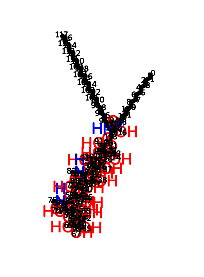 CCCCCCCCCCCCC/C=C/[C@@H](O)[C@H](CO[C@@H]1OC(CO)[C@@H](O[C@@H]2OC(CO)[C@H](O[C@@H]3OC(CO)[C@H](O)[C@H](O[C@@H]4OC(CO)[C@H](O)[C@H](O[C@@H]5OC(CO)[C@H](O[C@@H]6OC(CO)[C@H](O)[C@H](O)C6O)[C@H](O)C5NC(C)=O)C4O)C3NC(C)=O)[C@H](O)C2O)[C@H](O)C1O)NC(=O)CCCCCCCCCCCCCCCCCCCCCCC